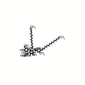 CCCCCCCCCCCCCCCCCC(O)C(C)CC(C)C(=O)OC1C(O)C(CO)OC(OC2OC(CO)C(O)C(O)C2OSOOO)C1OC(=O)CCCCCCCCCCCCCCC